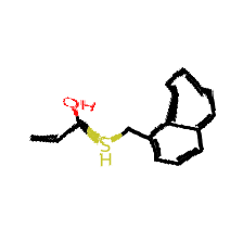 C=CC(O)=[SH]Cc1cccc2ccccc12